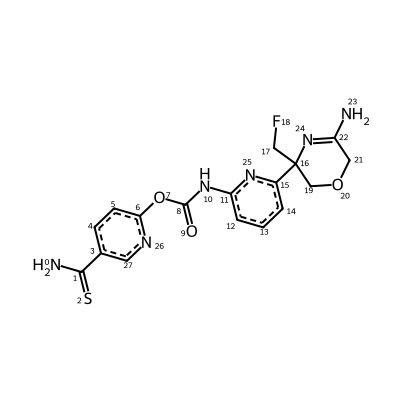 NC(=S)c1ccc(OC(=O)Nc2cccc(C3(CF)COCC(N)=N3)n2)nc1